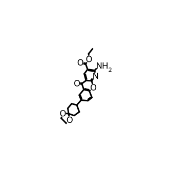 CCOC(=O)c1cc2c(=O)c3cc(C4CCC5(CC4)OCCO5)ccc3oc2nc1N